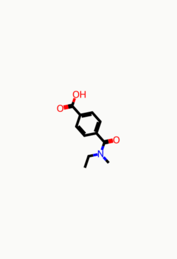 CCN(C)C(=O)c1ccc(C(=O)O)cc1